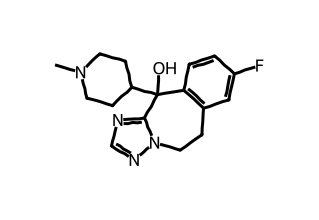 CN1CCC(C2(O)c3ccc(F)cc3CCn3ncnc32)CC1